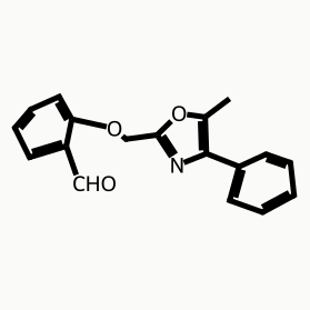 Cc1oc(COc2ccccc2C=O)nc1-c1ccccc1